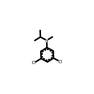 CC(C)N(C)c1cc(Cl)cc(Cl)c1